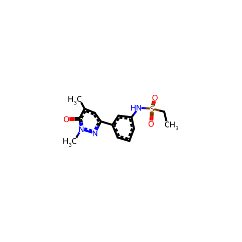 CCS(=O)(=O)Nc1cccc(-c2cc(C)c(=O)n(C)n2)c1